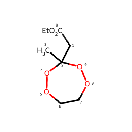 CCOC(=O)CC1(C)OOCCOO1